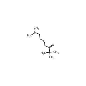 CN(C)CCOCC(=O)C(C)(C)C